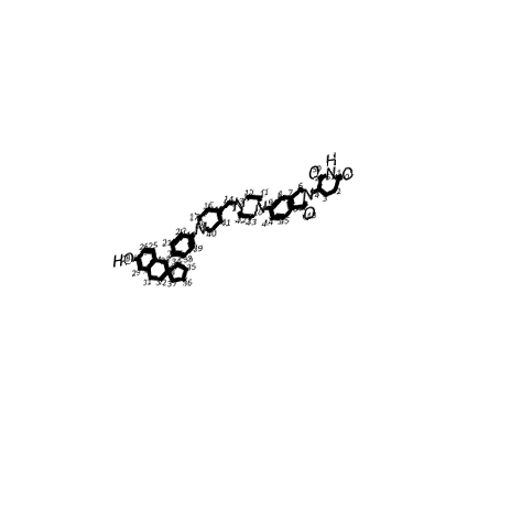 O=C1CCC(N2Cc3cc(N4CCN(CC5CCN(c6ccc([C@H]7c8ccc(O)cc8CCC78CCCC8)cc6)CC5)CC4)ccc3C2=O)C(=O)N1